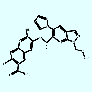 CCCOCn1ncc2cc(-n3cccn3)c([C@H](C)Oc3cc4cc(C(N)=O)c(F)cc4nc3N)nc21